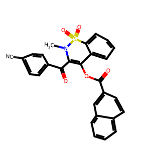 CN1C(C(=O)c2ccc(C#N)cc2)=C(OC(=O)c2ccc3ccccc3c2)c2ccccc2S1(=O)=O